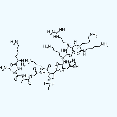 CC(NC(=O)[C@H](CCN)NC(=O)C(N)CCCCN)C(=O)NCC(=O)N[C@H](CCCN)C(=O)N1C[C@@H](C(F)(F)F)CC1C(=O)NC(Cc1cnc[nH]1)C(=O)N[C@@H](CCCCN)C(=O)N/C(=C\CCNC(=N)N)C(=O)N[C@@H](CCCCN)C(=O)NCCCCN